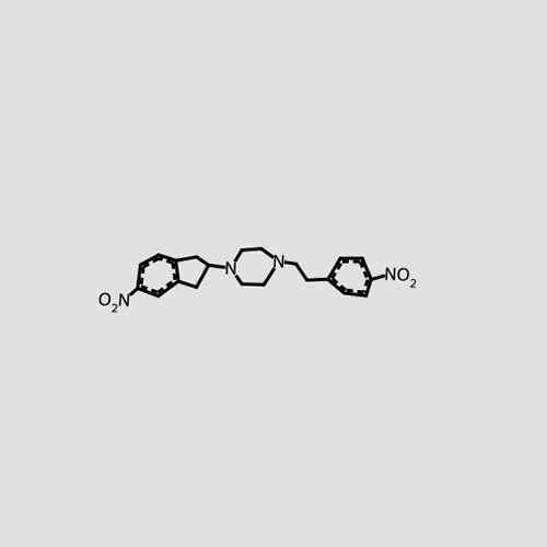 O=[N+]([O-])c1ccc(CCN2CCN(C3Cc4ccc([N+](=O)[O-])cc4C3)CC2)cc1